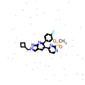 CS(=O)(=O)c1nccc(-c2cc3cn(CC4CCC4)nc3nc2-c2ccc(F)cc2)n1